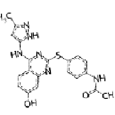 CC(=O)Nc1ccc(Sc2nc(Nc3cc(C)n[nH]3)c3ccc(O)cc3n2)cc1